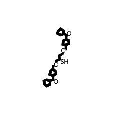 O=C(c1ccccc1)c1ccc(COCCC(S)COCc2ccc(C(=O)c3ccccc3)cc2)cc1